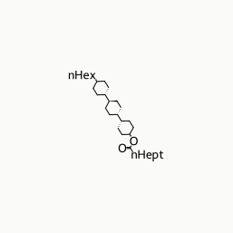 CCCCCCCC(=O)O[C@H]1CC[C@H]([C@H]2CC[C@H]([C@H]3CC[C@H](CCCCCC)CC3)CC2)CC1